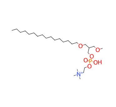 CCCCCCCCCCCCCCCCOCC(COC)COP(=O)(O)OCC[N+](C)(C)C